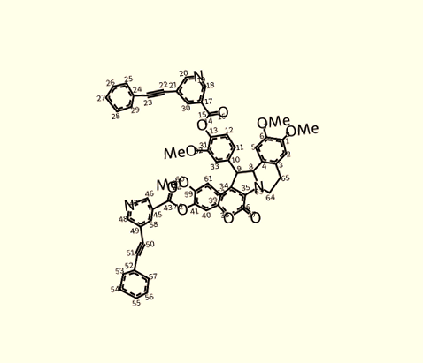 COc1cc2c(cc1OC)C1C(c3ccc(OC(=O)c4cncc(C#Cc5ccccc5)c4)c(OC)c3)c3c(c(=O)oc4cc(OC(=O)c5cncc(C#Cc6ccccc6)c5)c(OC)cc34)N1CC2